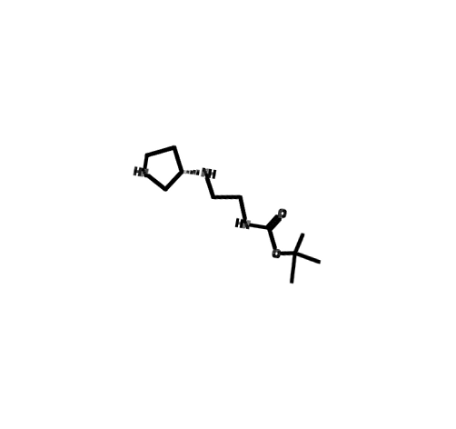 CC(C)(C)OC(=O)NCCN[C@H]1CCNC1